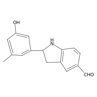 Cc1cc(O)cc(C2Cc3cc(C=O)ccc3N2)c1